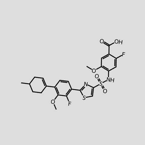 COc1cc(C(=O)O)c(F)cc1NS(=O)(=O)c1csc(-c2ccc(C3=CCC(C)CC3)c(OC)c2F)n1